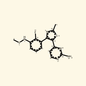 CSNc1cccc(-c2nc(C)sc2-c2ccnc(N)n2)c1F